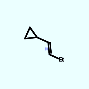 CC/C=C/C1CC1